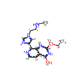 CCNCCn1cnc(-c2nccc3c(O)nc(OCC(F)(F)F)nc23)c1